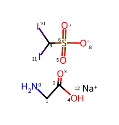 NCC(=O)O.O=S(=O)([O-])C(I)I.[Na+]